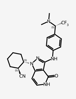 CN(C)[C@@H](c1ccc(Nc2nn([C@H]3CCCC[C@@H]3C#N)c3cc[nH]c(=O)c23)cc1)C(F)(F)F